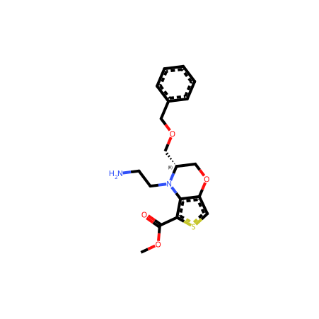 COC(=O)c1scc2c1N(CCN)[C@H](COCc1ccccc1)CO2